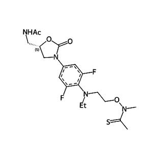 CCN(CCON(C)C(C)=S)c1c(F)cc(N2C[C@H](CNC(C)=O)OC2=O)cc1F